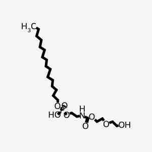 CCCCCCCCCCCCCCCCOP(=O)(O)OCCNC(=O)OCCOCCO